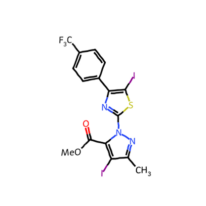 COC(=O)c1c(I)c(C)nn1-c1nc(-c2ccc(C(F)(F)F)cc2)c(I)s1